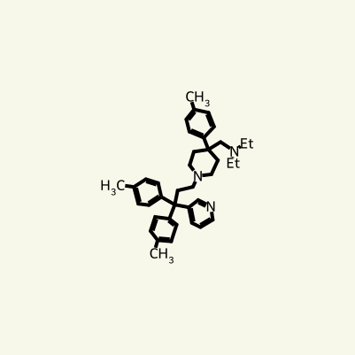 CCN(CC)CC1(c2ccc(C)cc2)CCN(CCC(c2ccc(C)cc2)(c2ccc(C)cc2)c2cccnc2)CC1